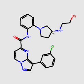 O=C(Nc1ccccc1N1CC[C@H](NCCO)C1)c1ccn2ncc(-c3cccc(Cl)c3)c2n1